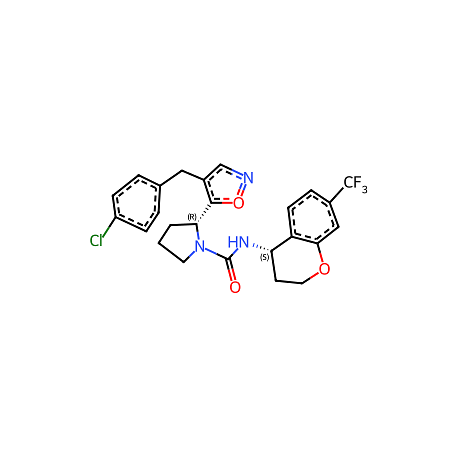 O=C(N[C@H]1CCOc2cc(C(F)(F)F)ccc21)N1CCC[C@@H]1c1oncc1Cc1ccc(Cl)cc1